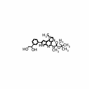 CN(C(=O)OC(C)(C)C)c1nc2[nH]c(-c3cccc(C(O)CO)c3)cc2c2c1ncn2C